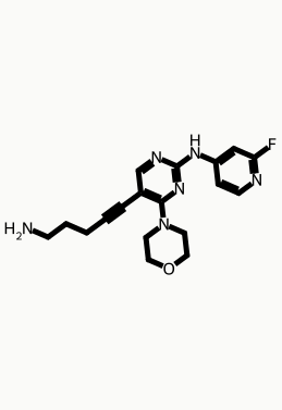 NCCCC#Cc1cnc(Nc2ccnc(F)c2)nc1N1CCOCC1